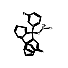 OB(O)OC(c1cccc(F)c1)(c1cccc(F)c1)c1ccccc1-c1cccc(F)c1